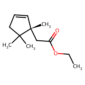 CCOC(=O)C[C@@]1(C)C=CCC1(C)C